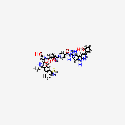 Cc1ncsc1-c1ccc([C@H](C)NC(=O)[C@@H]2C[C@@H](O)CN2C(=O)[C@@H](c2cc(N3CCC(C(=O)NC(=N)N4CCc5[nH]c6nnc(-c7ccccc7O)cc6c5C4)CC3)no2)C(C)C)cc1